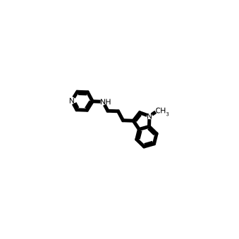 Cn1cc(CCCNc2ccncc2)c2ccccc21